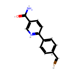 NC(=O)c1ccc(-c2ccc(C=S)cc2)nc1